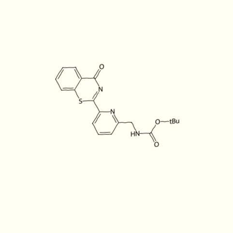 CC(C)(C)OC(=O)NCc1cccc(-c2nc(=O)c3ccccc3s2)n1